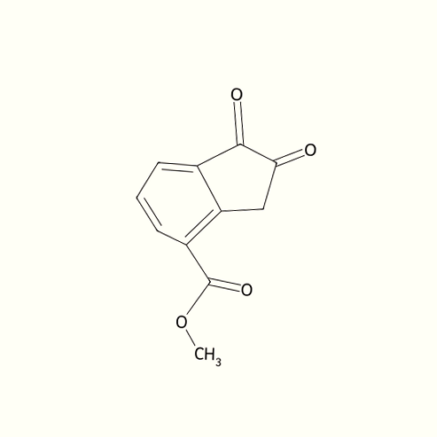 COC(=O)c1cccc2c1CC(=O)C2=O